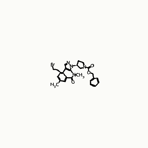 Cc1cc(CCBr)c2c(c1)c(=O)n(C)c1c2cnn1[C@H]1CCN(C(=O)OCc2ccccc2)C1